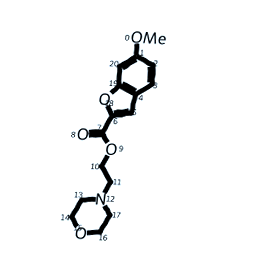 COc1ccc2cc(C(=O)OCCN3CCOCC3)oc2c1